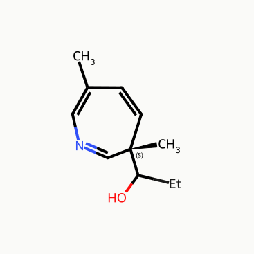 CCC(O)[C@@]1(C)C=CC(C)=CN=C1